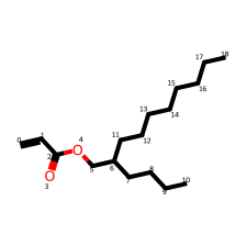 C=CC(=O)OCC(CCCC)CCCCCCCC